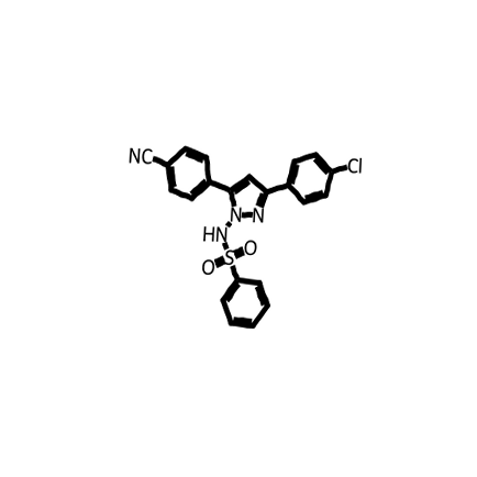 N#Cc1ccc(-c2cc(-c3ccc(Cl)cc3)nn2NS(=O)(=O)c2ccccc2)cc1